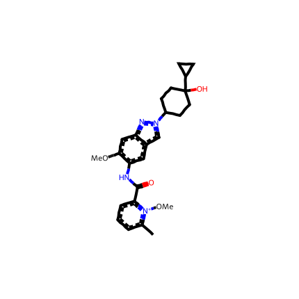 COc1cc2nn(C3CCC(O)(C4CC4)CC3)cc2cc1NC(=O)c1cccc(C)[n+]1OC